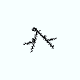 CCCCCCCCC(CCCCCCCC)OC(=O)CCCCCCC(CCCCCCC(=O)OCCC(CCCCCCC)CCCCCCC)NC1CCOCC1